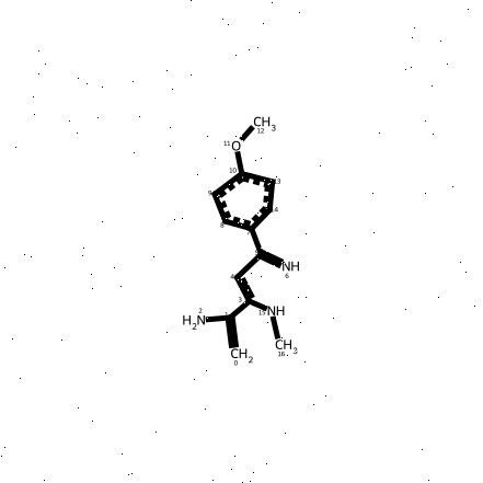 C=C(N)/C(=C/C(=N)c1ccc(OC)cc1)NC